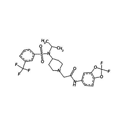 CC(C)N(C1CCN(CC(=O)Nc2ccc3c(c2)OC(F)(F)O3)CC1)S(=O)(=O)c1cccc(C(F)(F)F)c1